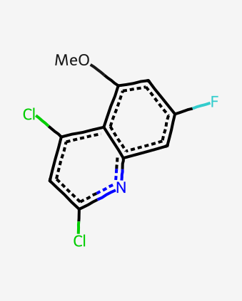 COc1cc(F)cc2nc(Cl)cc(Cl)c12